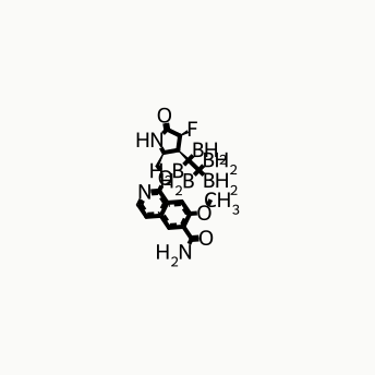 BC(B)(B)C(B)(B)[C@@H]1[C@H](F)C(=O)N[C@@H]1COc1nccc2cc(C(N)=O)c(OC)cc12